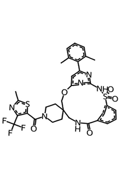 Cc1nc(C(F)(F)F)c(C(=O)N2CCC3(CC2)CNC(=O)c2cccc(c2)S(=O)(=O)Nc2nc(cc(-c4c(C)cccc4C)n2)OC3)s1